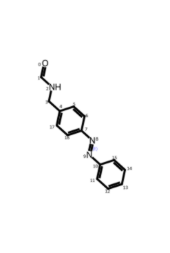 O=CNCc1ccc(/N=N/c2ccccc2)cc1